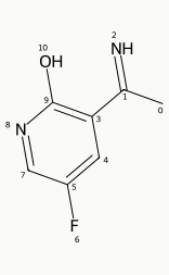 CC(=N)c1cc(F)cnc1O